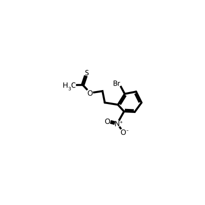 CC(=S)OCCc1c(Br)cccc1[N+](=O)[O-]